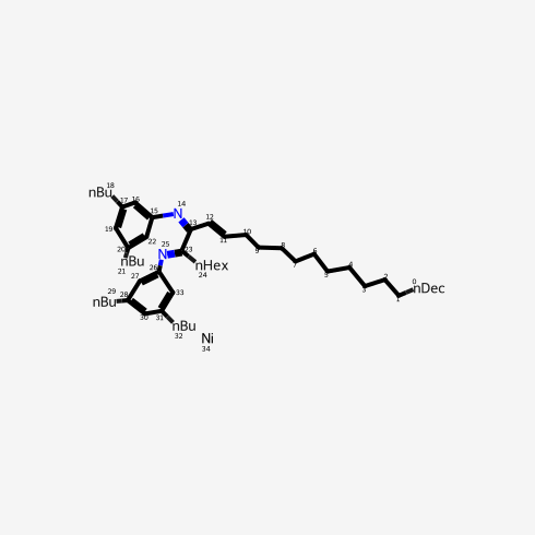 CCCCCCCCCCCCCCCCCCCCC=CC(=Nc1cc(CCCC)cc(CCCC)c1)C(CCCCCC)=Nc1cc(CCCC)cc(CCCC)c1.[Ni]